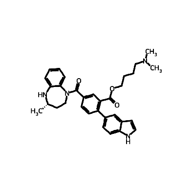 C[C@H]1CCN(C(=O)c2ccc(-c3ccc4[nH]ccc4c3)c(C(=O)OCCCCN(C)C)c2)c2ccccc2N1